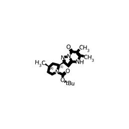 Cc1[nH]c2cc([C@@H]3C[C@H](C)CCN3C(=O)OC(C)(C)C)nn2c(=O)c1C